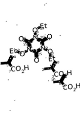 C=C(C)C(=O)O.C=C(C)C(=O)O.C=C(C)C(=O)O.CCOn1c(=O)n(OCC)c(=O)n(OCC)c1=O